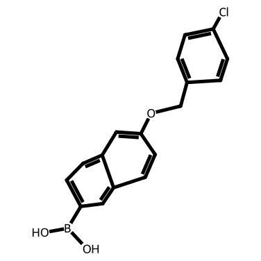 OB(O)c1ccc2cc(OCc3ccc(Cl)cc3)ccc2c1